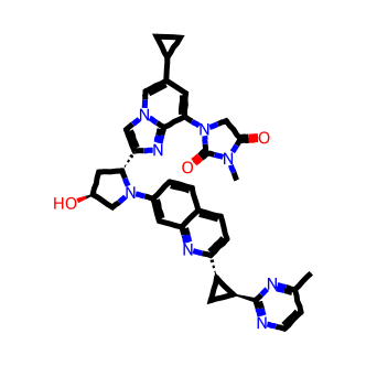 Cc1ccnc([C@H]2C[C@@H]2c2ccc3ccc(N4C[C@@H](O)C[C@@H]4c4cn5cc(C6CC6)cc(N6CC(=O)N(C)C6=O)c5n4)cc3n2)n1